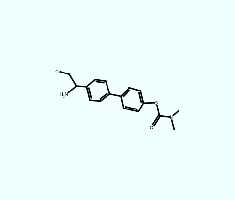 CN(C)C(=O)Sc1ccc(-c2ccc(C(N)CCl)cc2)cc1